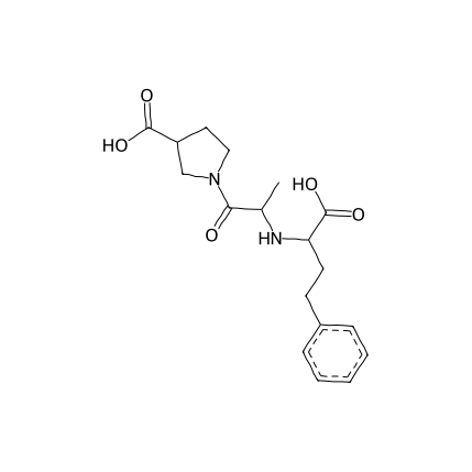 CC(NC(CCc1ccccc1)C(=O)O)C(=O)N1CCC(C(=O)O)C1